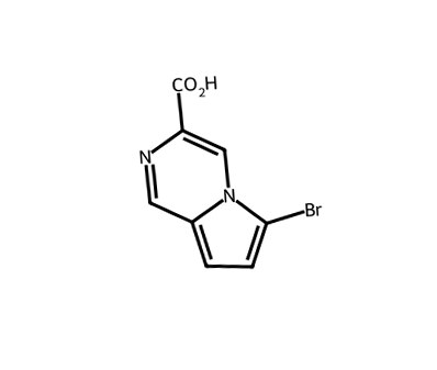 O=C(O)c1cn2c(Br)ccc2cn1